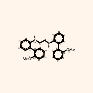 COc1ccccc1-c1ccccc1PCCPc1ccccc1-c1ccccc1OC